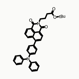 CC(C)(C)OC(=O)CCCN1C(=O)c2cccc3c(-c4ccc(N(c5ccccc5)c5ccccc5)cc4)ccc(c23)C1=O